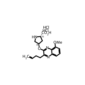 C=CCCc1nc2cccc(OC)c2nc1O[C@H]1CN[C@H](C(=O)O)C1.Cl.Cl